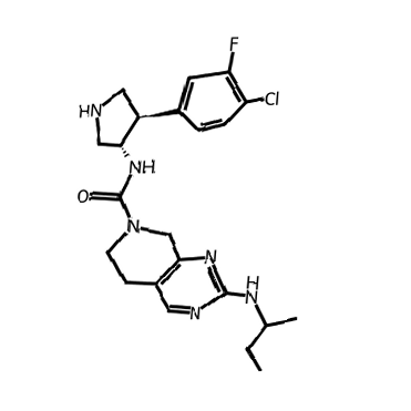 CCC(C)Nc1ncc2c(n1)CN(C(=O)N[C@@H]1CNC[C@H]1c1ccc(Cl)c(F)c1)CC2